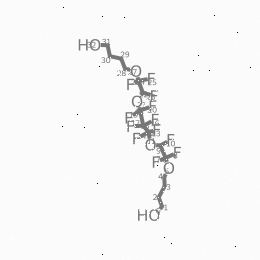 OCCCCOC(F)(F)C(F)OC(F)(F)C(F)(F)C(F)(F)OC(F)C(F)(F)OCCCCO